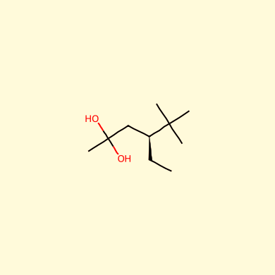 CC[C@@H](CC(C)(O)O)C(C)(C)C